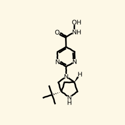 CC(C)(C)[C@]12C[C@@H](CN1)N(c1ncc(C(=O)NO)cn1)C2